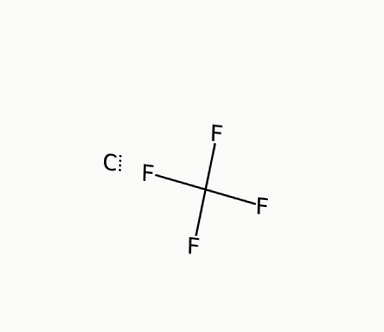 FC(F)(F)F.[C]